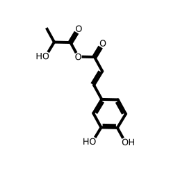 CC(O)C(=O)OC(=O)C=Cc1ccc(O)c(O)c1